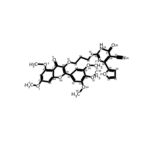 COc1cc(OC)c2c(=O)c(OCCCSc3nc(-c4ccco4)c(C#N)c(=O)[nH]3)c(-c3cc(OC)c(OC)c(OC)c3)oc2c1